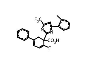 Cc1ccccc1-c1cc(C(F)(F)F)nc(C2(C(=O)O)CC(c3ccccc3)=CC=C2F)n1